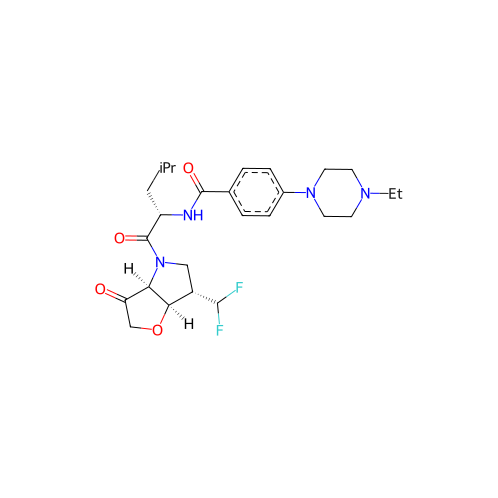 CCN1CCN(c2ccc(C(=O)N[C@@H](CC(C)C)C(=O)N3C[C@H](C(F)F)[C@H]4OCC(=O)[C@H]43)cc2)CC1